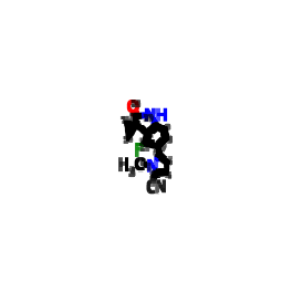 CN1C(C#N)=CCC1c1ccc2c(c1F)C1(CC1)C(=O)N2